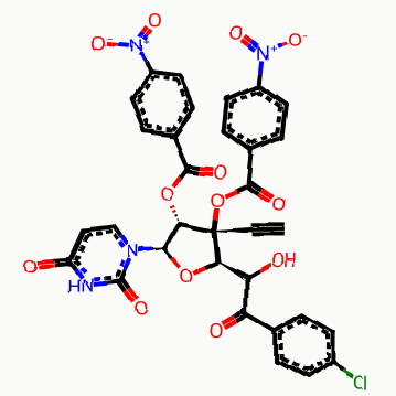 C#C[C@@]1(OC(=O)c2ccc([N+](=O)[O-])cc2)[C@@H](C(O)C(=O)c2ccc(Cl)cc2)O[C@@H](n2ccc(=O)[nH]c2=O)[C@@H]1OC(=O)c1ccc([N+](=O)[O-])cc1